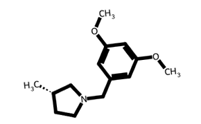 COc1cc(CN2CC[C@H](C)C2)cc(OC)c1